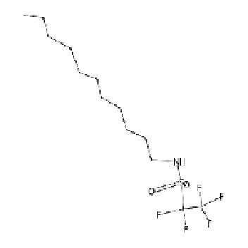 CCCCCCCCCCCNS(=O)(=O)C(F)(F)C(F)(F)F